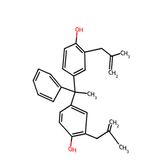 C=C(C)Cc1cc(C(C)(c2ccccc2)c2ccc(O)c(CC(=C)C)c2)ccc1O